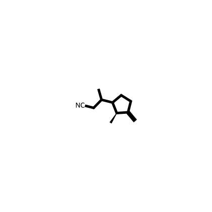 C=C1CCC(C(C)CC#N)[C@@H]1C